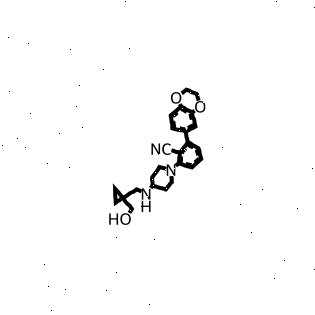 N#Cc1c(-c2ccc3c(c2)OCCO3)cccc1N1CCC(NCC2(CO)CC2)CC1